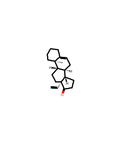 C=C[C@]12CC[C@H]3[C@@H](CC=C4CCCC[C@@]43C)[C@@H]1CCC2=O